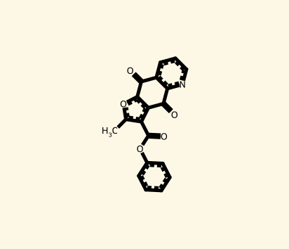 Cc1oc2c(c1C(=O)Oc1ccccc1)C(=O)c1ncccc1C2=O